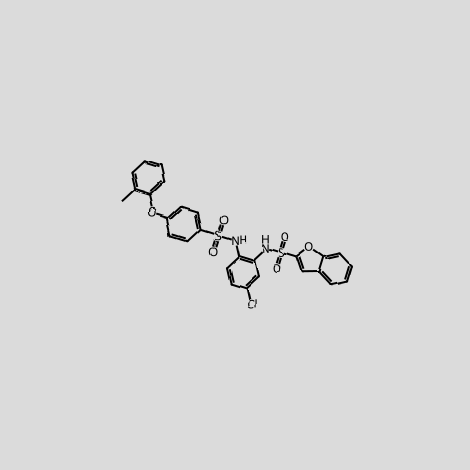 Cc1ccccc1Oc1ccc(S(=O)(=O)Nc2ccc(Cl)cc2NS(=O)(=O)c2cc3ccccc3o2)cc1